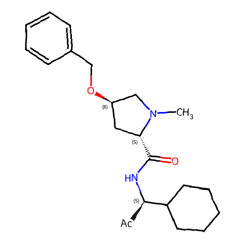 CC(=O)[C@@H](NC(=O)[C@@H]1C[C@@H](OCc2ccccc2)CN1C)C1CCCCC1